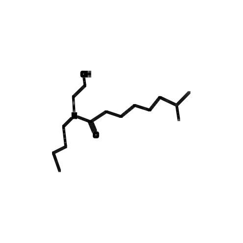 CCCCN(CCO)C(=O)CCCCCC(C)C